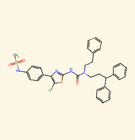 CS(=O)(=O)Nc1ccc(-c2nc(NC(=O)N(CCc3ccccc3)CCC(c3ccccc3)c3ccccc3)sc2Cl)cc1